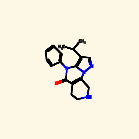 CC(C)c1cnn2c3c(c(=O)n(-c4ccccc4)c12)CCNC3